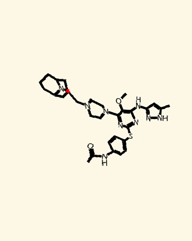 COc1c(Nc2cc(C)[nH]n2)nc(Sc2ccc(NC(C)=O)cc2)nc1N1CCN(CCN2C3CCCC2CCC3)CC1